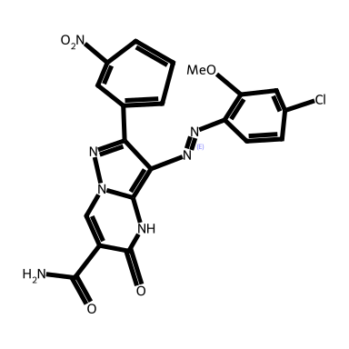 COc1cc(Cl)ccc1/N=N/c1c(-c2cccc([N+](=O)[O-])c2)nn2cc(C(N)=O)c(=O)[nH]c12